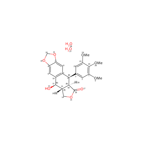 COc1cc([C@@H]2c3cc4c(cc3[C@H](O)[C@H]3COC(=O)[C@H]23)OCO4)cc(OC)c1OC.O.O